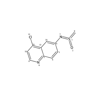 C=S(=O)=Nc1ccc2nccc(Cl)c2c1